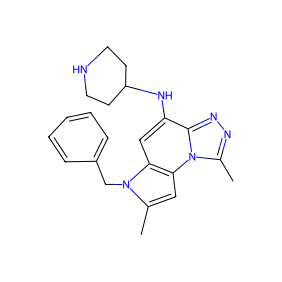 Cc1cc2c(cc(NC3CCNCC3)c3nnc(C)n32)n1Cc1ccccc1